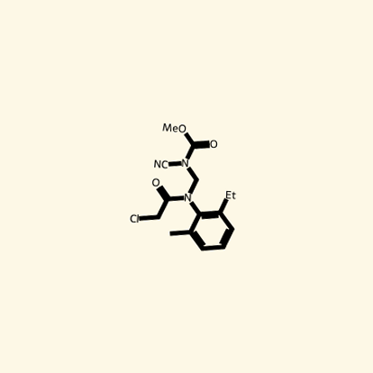 CCc1cccc(C)c1N(CN(C#N)C(=O)OC)C(=O)CCl